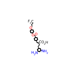 Nc1cc(N)cc(CCC(=Cc2ccc(C(=O)Oc3ccc(OCCCC(F)(F)F)cc3)cc2)C(=O)O)c1